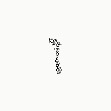 COc1cc(C(=O)NC2CC3(CCN(CCC4CCN(c5ccc(C6CCC(O)NC6=O)cc5F)CC4)CC3)C2)ccc1Nc1ncc2c(n1)N(C(C)C)CC(F)(F)C(=O)N2C